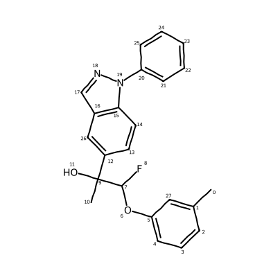 Cc1cccc(OC(F)C(C)(O)c2ccc3c(cnn3-c3ccccc3)c2)c1